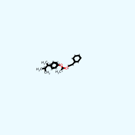 CC(OCCC1CCCCC1)Oc1ccc(C(C)C(C)C)cc1